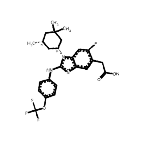 C[C@H]1C[C@@H](n2c(Nc3ccc(OC(F)(F)F)cc3)nc3cc(CC(=O)O)c(F)cc32)CC(C)(C)C1